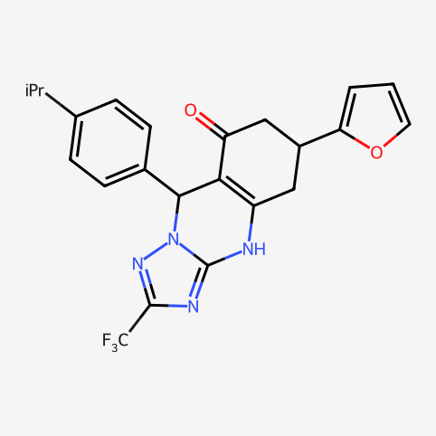 CC(C)c1ccc(C2C3=C(CC(c4ccco4)CC3=O)Nc3nc(C(F)(F)F)nn32)cc1